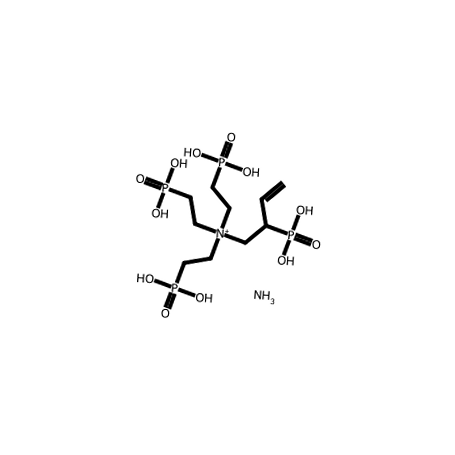 C=CC(C[N+](CCP(=O)(O)O)(CCP(=O)(O)O)CCP(=O)(O)O)P(=O)(O)O.N